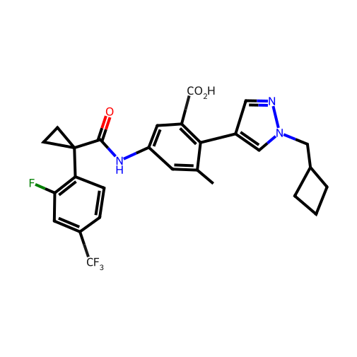 Cc1cc(NC(=O)C2(c3ccc(C(F)(F)F)cc3F)CC2)cc(C(=O)O)c1-c1cnn(CC2CCC2)c1